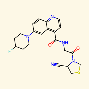 N#CC1CSCN1C(=O)CNC(=O)c1ccnc2ccc(N3CCC(F)CC3)cc12